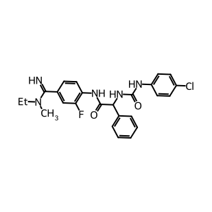 CCN(C)C(=N)c1ccc(NC(=O)C(NC(=O)Nc2ccc(Cl)cc2)c2ccccc2)c(F)c1